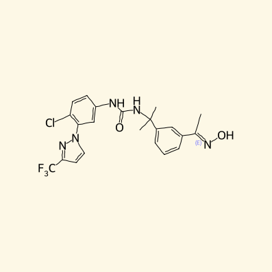 C/C(=N\O)c1cccc(C(C)(C)NC(=O)Nc2ccc(Cl)c(-n3ccc(C(F)(F)F)n3)c2)c1